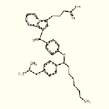 CCCCCCCC(Oc1ccc(C(=O)c2cc(CCCC(=O)O)n3ccccc23)cc1)c1ccc(CC(C)C)cc1